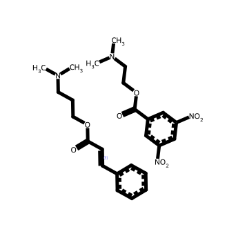 CN(C)CCCOC(=O)/C=C/c1ccccc1.CN(C)CCOC(=O)c1cc([N+](=O)[O-])cc([N+](=O)[O-])c1